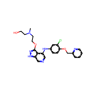 CN(CCO)CCOc1n[nH]c2cncc(Nc3ccc(OCc4ccccn4)c(Cl)c3)c12